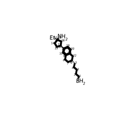 BCCCCC[C@@H]1CCc2cc([C@H]3CC[C@](N)(CC)C3)ccc2C1